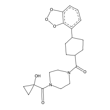 O=C(C1CCC(c2cccc3c2OOO3)CC1)N1CCN(C(=O)C2(O)CC2)CC1